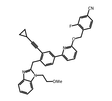 COCCn1c(Cc2ccc(-c3cccc(OCc4ccc(C#N)cc4F)n3)cc2C#CC2CC2)nc2ccccc21